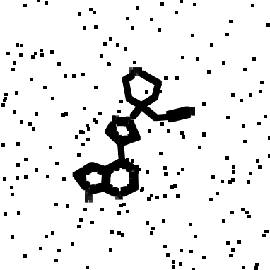 N#CCC1(n2cc(-c3ncnc4[nH]ccc34)cn2)CCNCC1